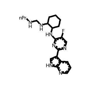 CCCNCNC1CCCCC1Nc1nc(-c2c[nH]c3ncccc23)ncc1F